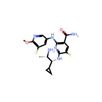 COc1ncc(Nc2nc(N[C@H](C3CC3)[C@H](C)N)c(F)cc2C(N)=O)cc1F